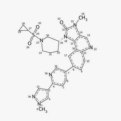 Cn1cc(-c2ccc(-c3ccc4ncc5c(c4c3)n([C@@H]3CCCN(S(=O)(=O)C4CC4)C3)c(=O)n5C)cn2)cn1